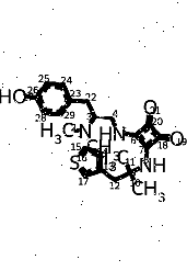 CN(C)[C@H](CNc1c(NC(C)(C)Cc2ccsc2)c(=O)c1=O)Cc1ccc(O)cc1